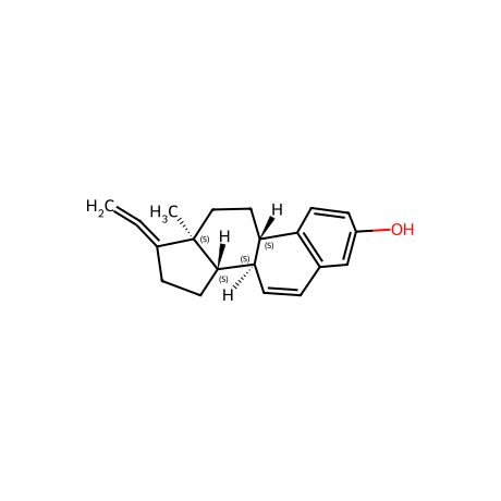 C=C=C1CC[C@H]2[C@@H]3C=Cc4cc(O)ccc4[C@H]3CC[C@]12C